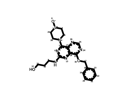 [O-][S+]1CCN(c2nc(NCCCO)nc3c(OCc4ccccc4)ncnc23)CC1